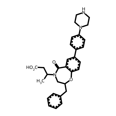 CC(CC(=O)O)N1CC(Cc2ccccc2)Oc2ccc(-c3ccc(N4CCNCC4)cc3)cc2C1=O